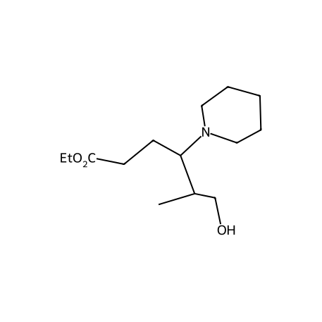 CCOC(=O)CCC(C(C)CO)N1CCCCC1